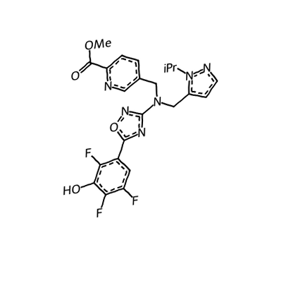 COC(=O)c1ccc(CN(Cc2ccnn2C(C)C)c2noc(-c3cc(F)c(F)c(O)c3F)n2)cn1